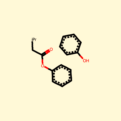 CC(C)CC(=O)Oc1ccccc1.Oc1ccccc1